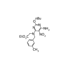 CCCCOc1nc(N)c([N+](=O)[O-])c(N(CC(=O)OCC)Cc2cccc(C)c2)n1